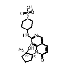 CC[C@@]1(O)CCC[C@H]1n1c(=O)ccc2cnc(NC3CCN(S(C)(=O)=O)CC3)nc21